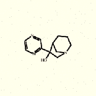 OC1(c2cnccn2)CN2CCCC1C2